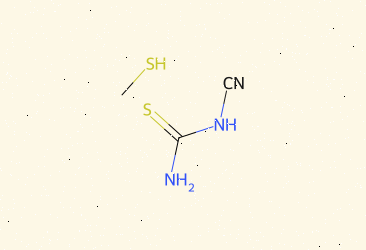 CS.N#CNC(N)=S